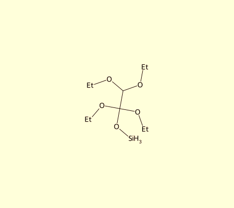 CCOC(OCC)C(O[SiH3])(OCC)OCC